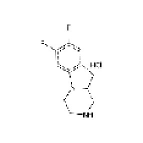 Cl.Fc1cc2c(cc1F)N1CCNCC1C2